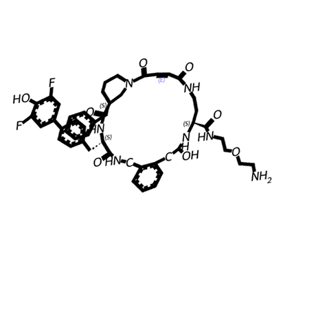 NCCOCCNC(=O)[C@@H]1CCNC(=O)/C=C/C(=O)N2CCC[C@](Cc3ccccc3)(C2)C(=O)N[C@@H](Cc2ccc(-c3cc(F)c(O)c(F)c3)cc2)C(=O)NCc2ccccc2CC(O)N1